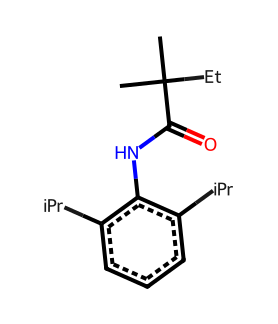 CCC(C)(C)C(=O)Nc1c(C(C)C)cccc1C(C)C